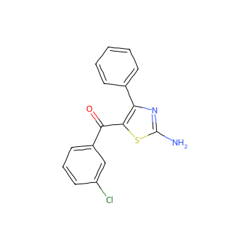 Nc1nc(-c2ccccc2)c(C(=O)c2cccc(Cl)c2)s1